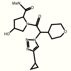 CNC(=O)C1CC(O)CN1C(=O)C(C1CCOCC1)n1cc(C2CC2)nn1